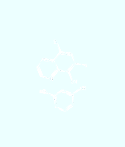 Oc1c(I)cc(Cl)c2cccnc12.Oc1cccc(O)c1